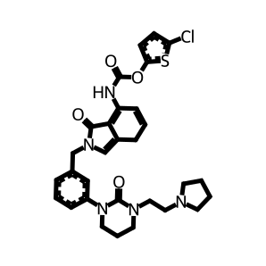 O=C(NC1=C2C(=O)N(Cc3cccc(N4CCCN(CCN5CCCC5)C4=O)c3)C=C2CC=C1)Oc1ccc(Cl)s1